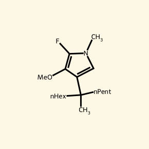 CCCCCCC(C)(CCCCC)c1cn(C)c(F)c1OC